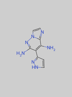 Nc1nn2ccnc2c(N)c1-c1cc[nH]n1